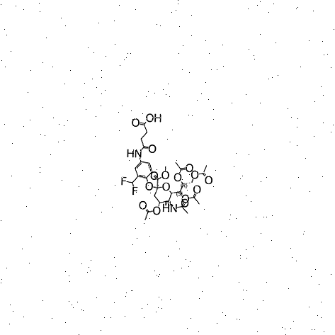 COC(=O)C1(Oc2ccc(NC(=O)CCC(=O)O)cc2C(F)F)CC(OC(C)=O)[C@@H](NC(C)=O)C([C@H](OC(C)=O)[C@@H](COC(C)=O)OC(C)=O)O1